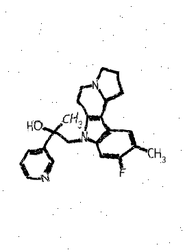 Cc1cc2c3c(n(CC(C)(O)c4cccnc4)c2cc1F)CCN1CCCC31